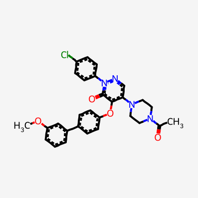 COc1cccc(-c2ccc(Oc3c(N4CCN(C(C)=O)CC4)cnn(-c4ccc(Cl)cc4)c3=O)cc2)c1